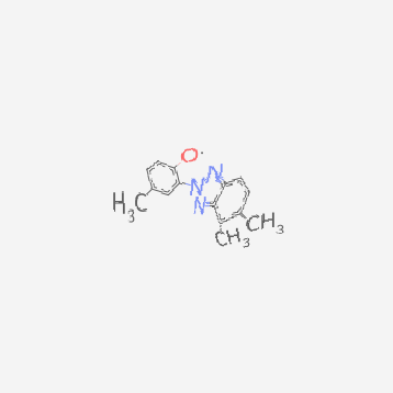 Cc1ccc([O])c(-n2nc3ccc(C)c(C)c3n2)c1